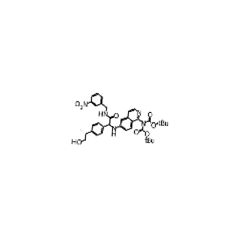 C[C@@H](CO)c1ccc(C(Nc2ccc3c(N(C(=O)OC(C)(C)C)C(=O)OC(C)(C)C)nccc3c2)C(=O)NCc2cccc([N+](=O)[O-])c2)cc1